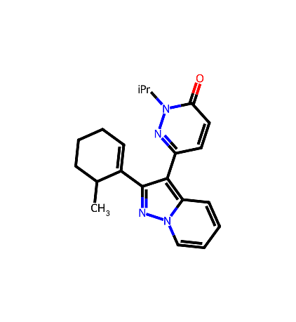 CC1CCCC=C1c1nn2ccccc2c1-c1ccc(=O)n(C(C)C)n1